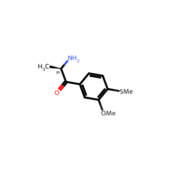 COc1cc(C(=O)[C@@H](C)N)ccc1SC